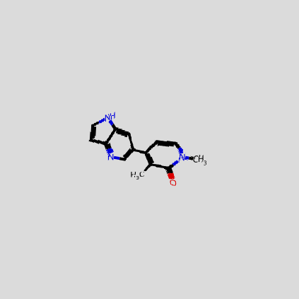 Cc1c(-c2cnc3cc[nH]c3c2)ccn(C)c1=O